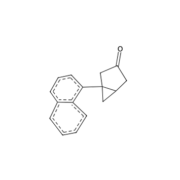 O=C1CC2CC2(c2cccc3ccccc23)C1